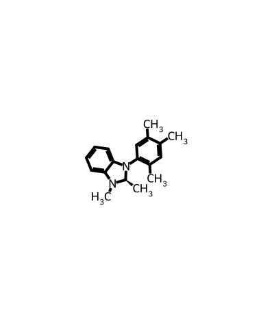 Cc1cc(C)c(N2c3ccccc3N(C)[C@@H]2C)cc1C